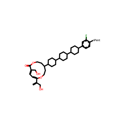 C=C(CO)/C1=C/C=C(\CO)C(=O)OCCC(C2CCC(C3CCC(C4CCC(c5ccc(CCCCC)c(F)c5)CC4)CC3)CC2)CCO1